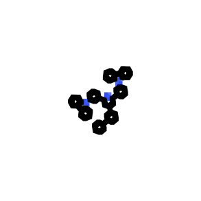 c1ccc(-c2cccc(-c3cc(-c4cccc(-n5c6ccccc6c6ccccc65)c4)nc(-c4cccc(-n5c6ccccc6c6ccccc65)c4)c3)c2)cc1